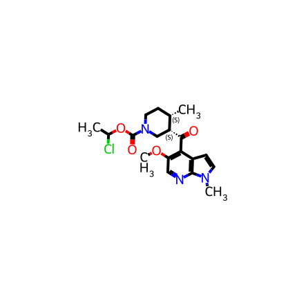 COc1cnc2c(ccn2C)c1C(=O)[C@@H]1CN(C(=O)OC(C)Cl)CC[C@@H]1C